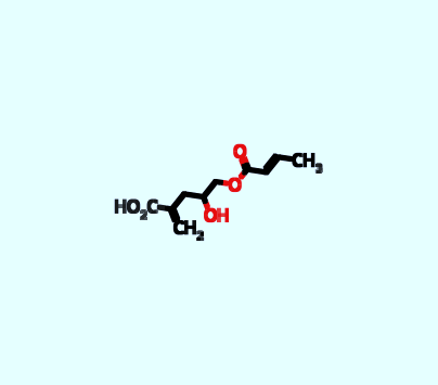 C=C(CC(O)COC(=O)C=CC)C(=O)O